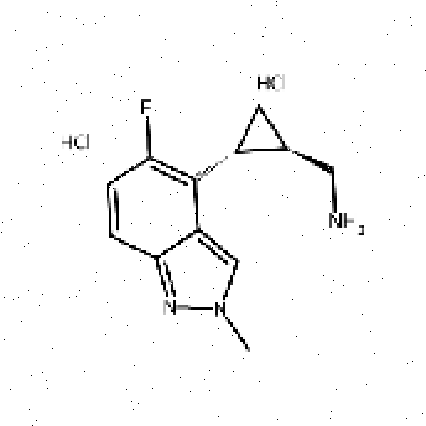 Cl.Cl.Cn1cc2c([C@@H]3C[C@H]3CN)c(F)ccc2n1